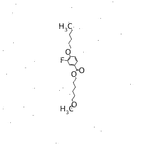 CCCCCCOc1ccc(C(=O)OCCCCCCOC)cc1F